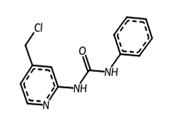 O=C(Nc1ccccc1)Nc1cc(CCl)ccn1